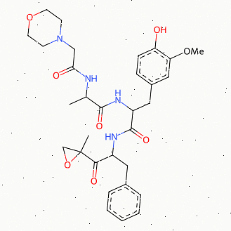 COc1cc(CC(NC(=O)C(C)NC(=O)CN2CCOCC2)C(=O)NC(Cc2ccccc2)C(=O)C2(C)CO2)ccc1O